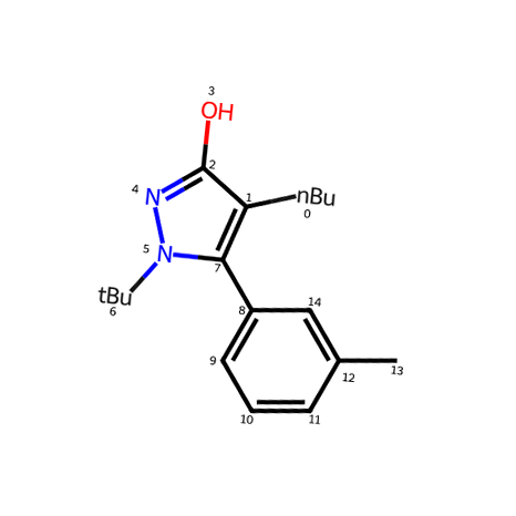 CCCCc1c(O)nn(C(C)(C)C)c1-c1cccc(C)c1